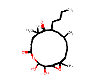 CCCCC1CC(C)CCCC2(C)OC2C(O)C(O)OC(=O)CCC(C)(C)C1=O